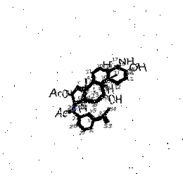 CC(=O)O[C@H]1C[C@@]2(C)[C@@H](C[C@@H](O)[C@H]3[C@@]4(C)CC[C@@H](O)[C@](C)(N)[C@@H]4CC[C@@]32C)/C1=C(/C(C)=O)C1CCCC(=C(C)C)C1